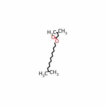 CC(C)CCCCCCCCCCCOC(=O)CC(C)C